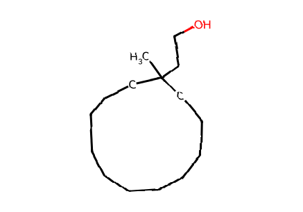 CC1(CCO)CCCCCCCCCCC1